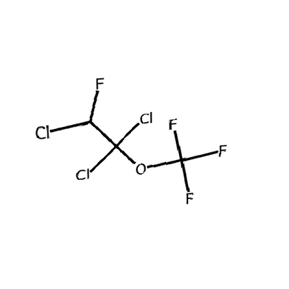 FC(Cl)C(Cl)(Cl)OC(F)(F)F